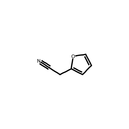 N#CCc1ccco1